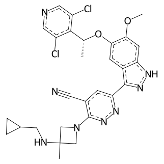 COc1cc2[nH]nc(-c3cc(C#N)c(N4CC(C)(NCC5CC5)C4)nn3)c2cc1O[C@H](C)c1c(Cl)cncc1Cl